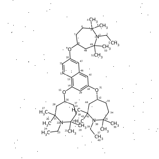 CCN1C(C)(C)CCC(Oc2ccc3c(OC4CCC(C)(C)N(CC)C(C)(C)C4)cc(OC4CCC(C)(C)N(CC)C(C)(C)C4)cc3c2)CC1(C)C